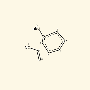 C=CC#N.CCCCc1ccccc1